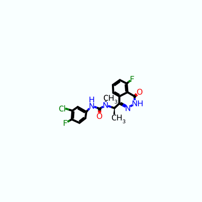 C[C@H](c1n[nH]c(=O)c2c(F)cccc12)N(C)C(=O)Nc1ccc(F)c(Cl)c1